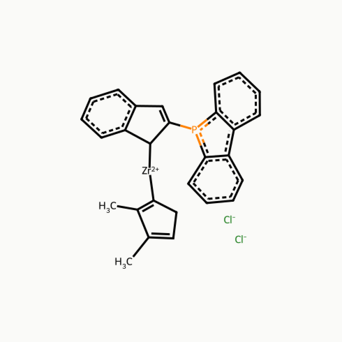 CC1=CC[C]([Zr+2][CH]2C(p3c4ccccc4c4ccccc43)=Cc3ccccc32)=C1C.[Cl-].[Cl-]